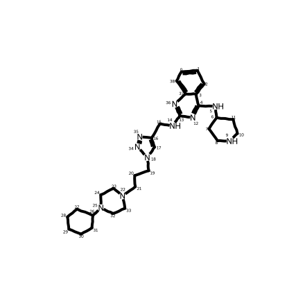 c1ccc2c(NC3CCNCC3)nc(NCc3cn(CCCN4CCN(C5CCCCC5)CC4)nn3)nc2c1